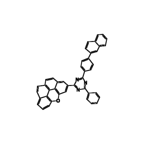 c1ccc(-c2nc(-c3ccc(-c4ccc5ccccc5c4)cc3)nc(-c3cc4c5c(ccc6ccc7cccc(c7c65)O4)c3)n2)cc1